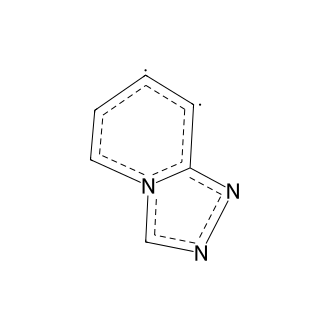 [c]1[c]c2nncn2cc1